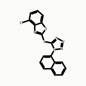 Clc1cccc2sc(Sc3nnnn3-c3cccc4ccccc34)nc12